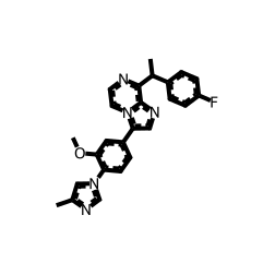 COc1cc(-c2cnc3c(C(C)c4ccc(F)cc4)nccn23)ccc1-n1cnc(C)c1